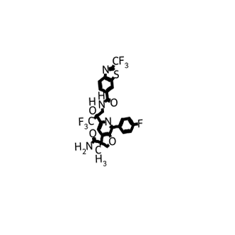 C[C@]1(C(N)=O)COc2c1cc(C(O)(CNC(=O)c1ccc3nc(C(F)(F)F)sc3c1)C(F)(F)F)nc2-c1ccc(F)cc1